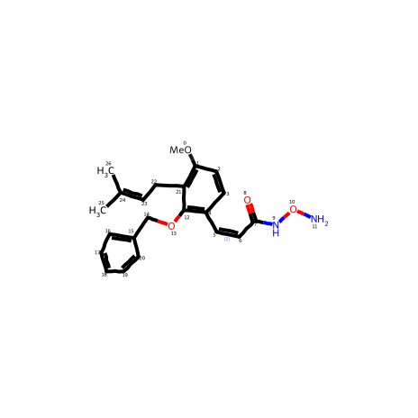 COc1ccc(/C=C\C(=O)NON)c(OCc2ccccc2)c1CC=C(C)C